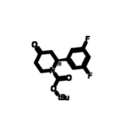 CC(C)(C)OC(=O)N1CCC(=O)C[C@H]1c1cc(F)cc(F)c1